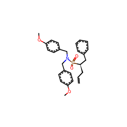 C=CC[C@H](Cc1ccccc1)S(=O)(=O)N(Cc1ccc(OC)cc1)Cc1ccc(OC)cc1